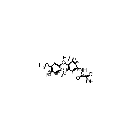 Cc1cc(Oc2c(C)cc(NC(=O)C(=O)O)cc2C)ccc1F